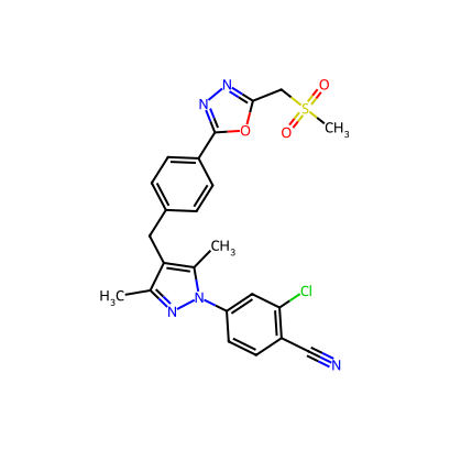 Cc1nn(-c2ccc(C#N)c(Cl)c2)c(C)c1Cc1ccc(-c2nnc(CS(C)(=O)=O)o2)cc1